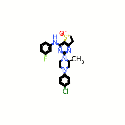 C[C@H]1CN(c2ccc(Cl)cc2)CCN1c1nc2c(c(Nc3cccc(F)c3)n1)[S+]([O-])CC2